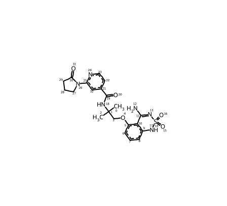 CC(C)(COc1cccc2c1C(N)=NS(=O)(=O)N2)NC(=O)c1ccnc(N2CCCC2=O)c1